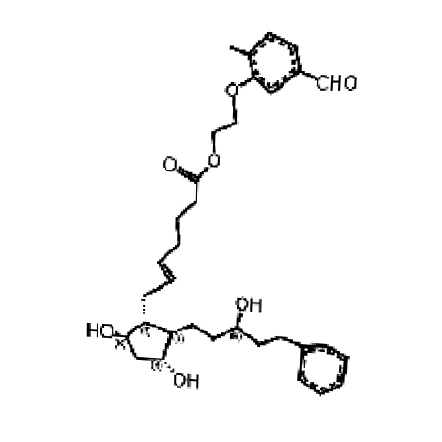 Cc1ccc(C=O)cc1OCCOC(=O)CCCC=CC[C@@H]1[C@@H](CC[C@@H](O)CCc2ccccc2)[C@H](O)C[C@H]1O